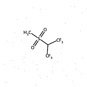 CS(=O)(=O)C(C(F)(F)F)C(F)(F)F